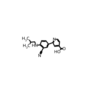 CC(C)CNc1ccc(-c2cc(C(=O)O)ccn2)cc1C#N